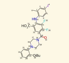 Cc1cc(I)ccc1Nc1c(C(=O)O)cc(C(=O)N2CCN(c3ccccc3OCC(C)C)CC2)c(F)c1F